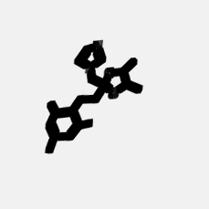 Cc1cc(C)c(CCC2(Cn3ccnc3)OC(C)C(C)O2)c(C)c1